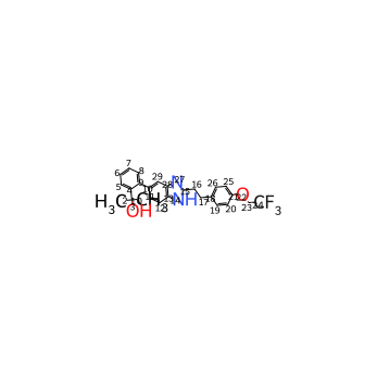 CC(C)(O)c1ccccc1-c1ccc2[nH]c(CCc3ccc(OCC(F)(F)F)cc3)nc2c1